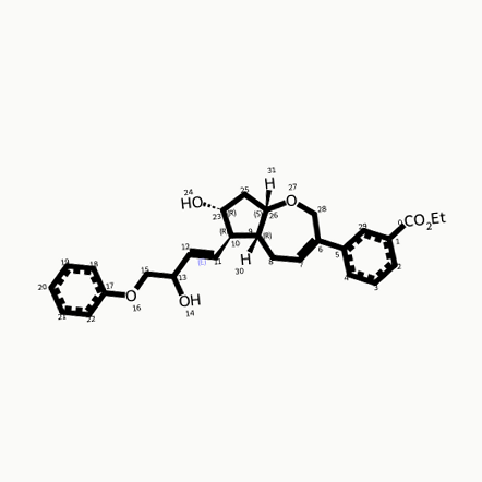 CCOC(=O)c1cccc(C2=CC[C@@H]3[C@@H](/C=C/C(O)COc4ccccc4)[C@H](O)C[C@@H]3OC2)c1